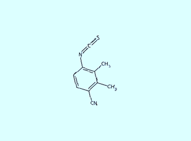 Cc1c(C#N)ccc(N=C=S)c1C